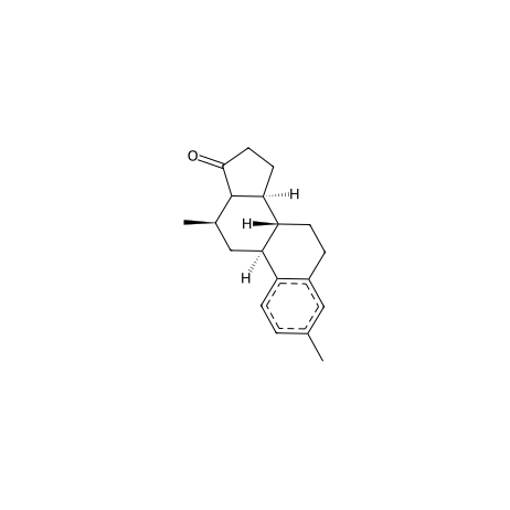 Cc1ccc2c(c1)CC[C@@H]1[C@@H]2C[C@@H](C)C2C(=O)CC[C@H]21